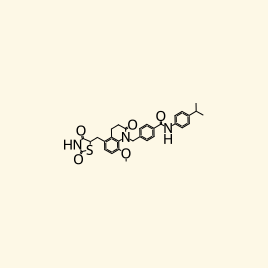 COc1ccc(CC2SC(=O)NC2=O)c2c1N(Cc1ccc(C(=O)Nc3ccc(C(C)C)cc3)cc1)C(=O)CC2